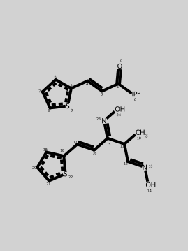 CC(C)C(=O)/C=C/c1cccs1.CC(C=NO)C(C=Cc1cccs1)=NO